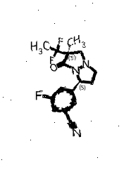 CC(F)(F)[C@@]1(C)CN2CC[C@@H](c3cc(F)cc(C#N)c3)N2C1=O